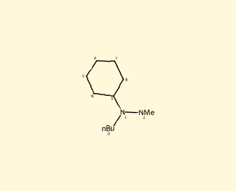 CCCCN(NC)C1CCCCC1